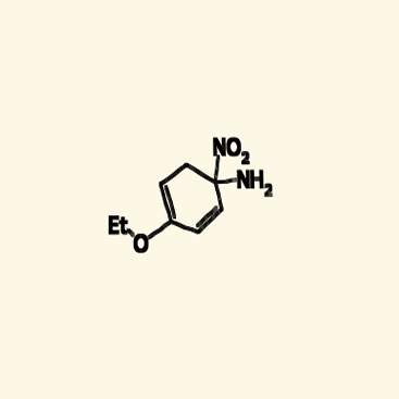 CCOC1=CCC(N)([N+](=O)[O-])C=C1